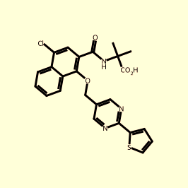 CC(C)(NC(=O)c1cc(Cl)c2ccccc2c1OCc1cnc(-c2cccs2)nc1)C(=O)O